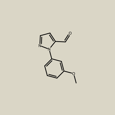 COc1cccc(-n2nccc2C=O)c1